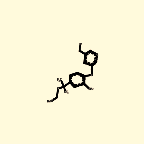 CCCc1cc(C(OCOC)(C(F)(F)F)C(F)(F)F)ccc1Oc1cncc(CBr)c1